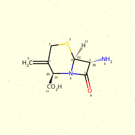 C=C1CS[C@H]2[C@H](N)C(=O)N2[C@H]1C(=O)O